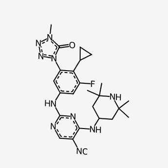 [C-]#[N+]c1cnc(Nc2cc(F)c(C3CC3)c(-n3nnn(C)c3=O)c2)nc1NC1CC(C)(C)NC(C)(C)C1